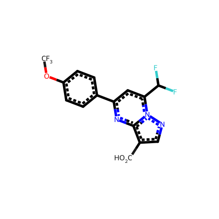 O=C(O)c1cnn2c(C(F)F)cc(-c3ccc(OC(F)(F)F)cc3)nc12